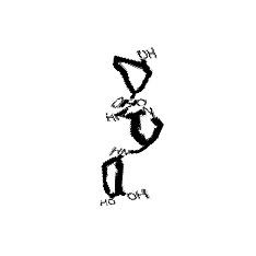 O=S(=O)(Nc1cc(CNc2ccc(O)c(O)c2)ccn1)C1CCC(O)CC1